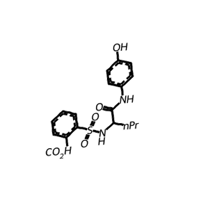 CCCC(NS(=O)(=O)c1ccccc1C(=O)O)C(=O)Nc1ccc(O)cc1